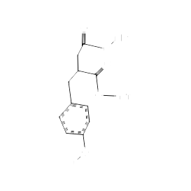 CCCOC(=O)CC(Cc1ccc(OCC)cc1)C(=O)OCCC